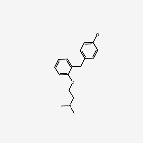 CN(C)CCOc1ccccc1Cc1ccc(Cl)cc1